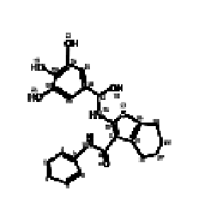 O=C(Nc1ccccc1)c1c(NC(O)c2cc(O)c(O)c(O)c2)sc2c1CCCC2